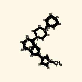 Cn1cc(-c2cc3c(N4CCN(c5ccccc5)CC4)ncnn3c2)cn1